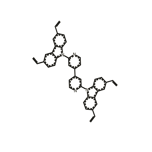 C=Cc1ccc2c(c1)c1cc(C=C)ccc1n2-c1cc(-c2ccnc(-n3c4ccc(C=C)cc4c4cc(C=C)ccc43)c2)ccn1